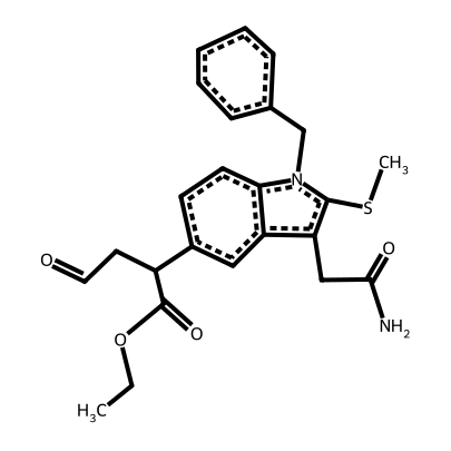 CCOC(=O)C(CC=O)c1ccc2c(c1)c(CC(N)=O)c(SC)n2Cc1ccccc1